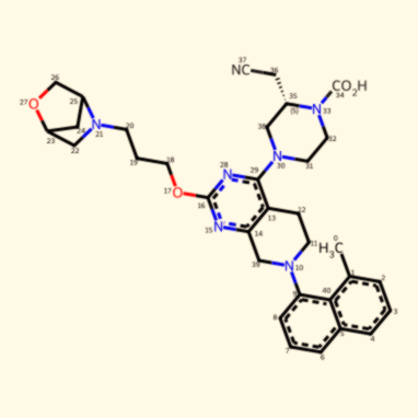 Cc1cccc2cccc(N3CCc4c(nc(OCCCN5CC6CC5CO6)nc4N4CCN(C(=O)O)[C@@H](CC#N)C4)C3)c12